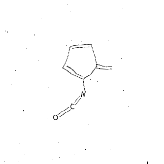 C=C1C=CC=C1N=C=O